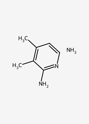 Cc1ccnc(N)c1C.N